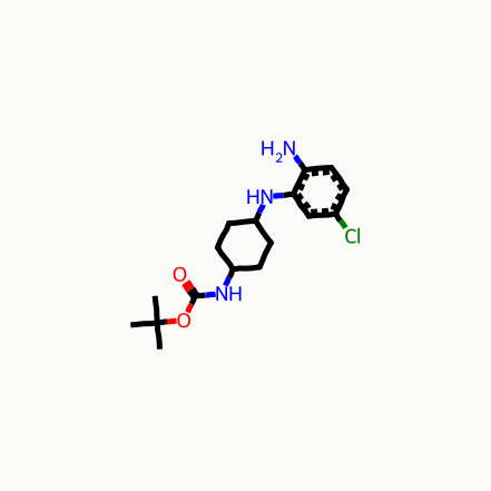 CC(C)(C)OC(=O)NC1CCC(Nc2cc(Cl)ccc2N)CC1